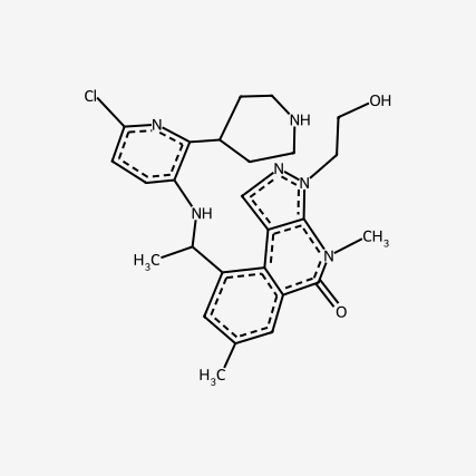 Cc1cc(C(C)Nc2ccc(Cl)nc2C2CCNCC2)c2c(c1)c(=O)n(C)c1c2cnn1CCO